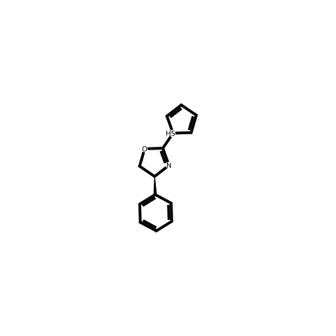 C1=C[SH](C2=N[C@@H](c3ccccc3)CO2)C=C1